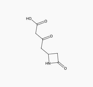 O=C(O)CC(=O)CC1CC(=O)N1